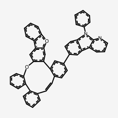 C1=C\c2ccc(-c3ccc4c(c3)c3cccnc3n4-c3ccccc3)cc2-c2cc3oc4ccccc4c3cc2Oc2ccccc2-c2ccccc2/1